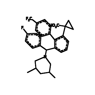 CC1CC(C)CN(C(c2ccc(F)cc2)c2cccc(C3(C(=O)O)CC3)c2-c2ccc(C(F)(F)F)cc2)C1